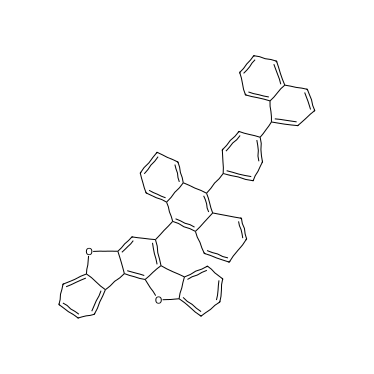 c1ccc2c(-c3ccc(-c4c5ccccc5c(-c5cc6oc7ccccc7c6c6oc7ccccc7c56)c5ccccc45)cc3)cccc2c1